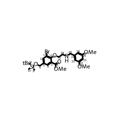 COC(=O)c1cc(CO[Si](C)(C)C(C)(C)C)cc(Br)c1OCCNCc1cc(OC)cc(OC)c1